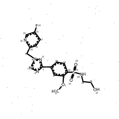 COc1cc(-c2nnn(Cc3ccc(F)cn3)n2)ccc1S(=O)(=O)NCCO